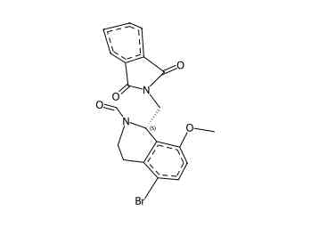 COc1ccc(Br)c2c1[C@@H](CN1C(=O)c3ccccc3C1=O)N(C=O)CC2